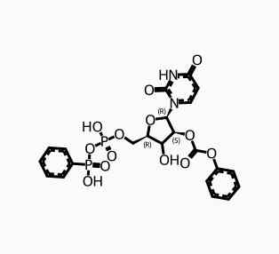 O=C(Oc1ccccc1)O[C@H]1C(O)[C@@H](COP(=O)(O)OP(=O)(O)c2ccccc2)O[C@H]1n1ccc(=O)[nH]c1=O